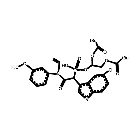 C=CN(C(=O)C(c1csc2ccc(Cl)cc12)P(=O)(O)OC(COC(=O)C(C)(C)C)OC(=O)C(C)(C)C)c1cccc(OC(F)(F)F)c1